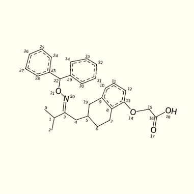 CC(C)C(CC1CCc2c(cccc2OCC(=O)O)C1)=NOC(c1ccccc1)c1ccccc1